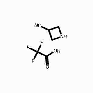 N#CC1CNC1.O=C(O)C(F)(F)F